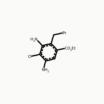 CCOC(=O)c1cc(N)c(Cl)c(N)c1CC(C)C